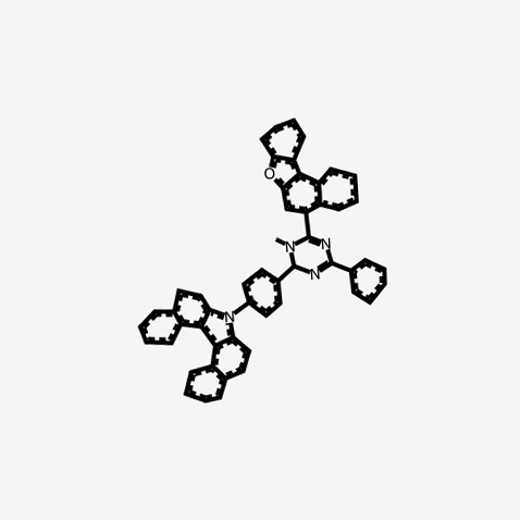 CN1C(c2cc3oc4ccccc4c3c3ccccc23)=NC(c2ccccc2)=NC1c1ccc(-n2c3ccc4ccccc4c3c3c4ccccc4ccc32)cc1